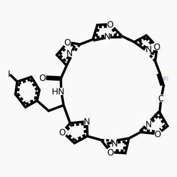 O=C1NC(Cc2ccc(I)cc2)c2nc(co2)-c2nc(co2)-c2nc(co2)C/C=C/c2nc(co2)-c2nc(co2)-c2nc1co2